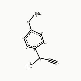 [C]#CC(C)c1ccc(CC(C)(C)C)cc1